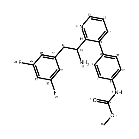 COC(=O)Nc1ccc(-c2cccnc2C(N)Cc2cc(F)cc(F)c2)cc1